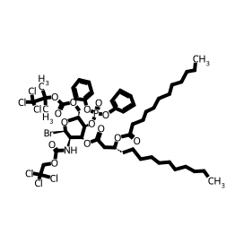 CCCCCCCCCCCC(=O)O[C@H](CCCCCCCCCCC)CC(=O)O[C@@H]1[C@@H](NC(=O)OCC(Cl)(Cl)Cl)[C@@H](Br)O[C@H](COC(=O)OC(C)(C)C(Cl)(Cl)Cl)[C@H]1OP(=O)(Oc1ccccc1)Oc1ccccc1